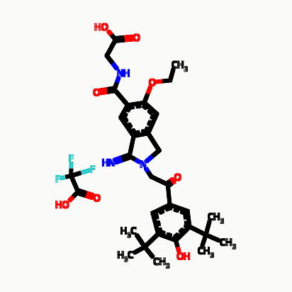 CCOc1cc2c(cc1C(=O)NCC(=O)O)C(=N)N(CC(=O)c1cc(C(C)(C)C)c(O)c(C(C)(C)C)c1)C2.O=C(O)C(F)(F)F